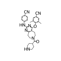 Cc1cc(C#N)cc(C)c1Oc1nc(Nc2ccc(C#N)cc2)nc2c1CCN(C(=O)C1CCNCC1)CC2